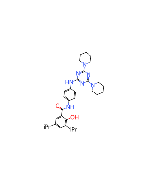 CC(C)c1cc(C(=O)Nc2ccc(Nc3nc(N4CCCCC4)nc(N4CCCCC4)n3)cc2)c(O)c(C(C)C)c1